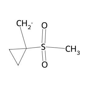 [CH2]C1(S(C)(=O)=O)CC1